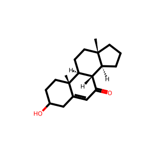 C[C@@]12CCC[C@H]1[C@@H]1C(=O)C=C3CC(O)CC[C@]3(C)[C@H]1CC2